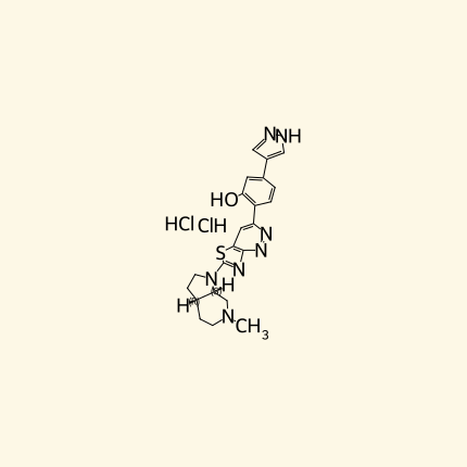 CN1CC[C@@H]2CCN(c3nc4nnc(-c5ccc(-c6cn[nH]c6)cc5O)cc4s3)[C@@H]2C1.Cl.Cl